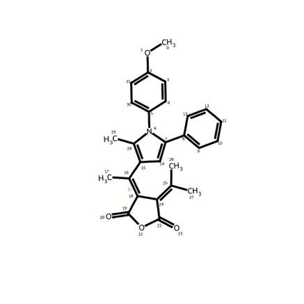 COc1ccc(-n2c(-c3ccccc3)cc(/C(C)=C3/C(=O)OC(=O)C3=C(C)C)c2C)cc1